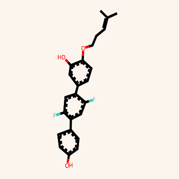 CC(C)=CCCOc1ccc(-c2cc(F)c(-c3ccc(O)cc3)cc2F)cc1O